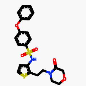 O=C1COCCN1CCc1sccc1NS(=O)(=O)c1ccc(Oc2ccccc2)cc1